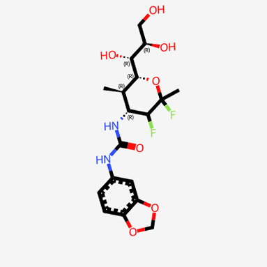 C[C@H]1[C@H]([C@H](O)[C@H](O)CO)OC(C)(F)C(F)[C@@H]1NC(=O)Nc1ccc2c(c1)OCO2